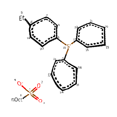 CCCCCCCCS(=O)(=O)[O-].CCc1ccc([S+](c2ccccc2)c2ccccc2)cc1